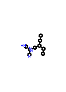 C1=CC(c2ccccc2)=CC(c2cc(-c3ccc(-c4ccccc4)cc3)cc(-c3ccc(-c4nc(C5=CCNC=C5)cc(C5=CC=NCC5)n4)cc3)c2)C1